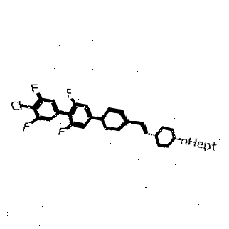 CCCCCCC[C@H]1CC[C@H](CCC2CCC(c3cc(F)c(-c4cc(F)c(Cl)c(F)c4)c(F)c3)CC2)CC1